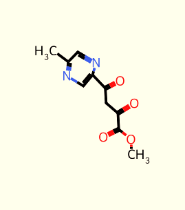 COC(=O)C(=O)CC(=O)c1cnc(C)cn1